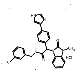 Cl.Cn1c(=O)n(C(C(=O)NCc2cccc(Cl)c2)c2ccc(-c3c[nH]cn3)cc2)c2ccccc21